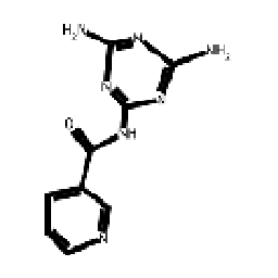 Nc1nc(N)nc(NC(=O)c2cccnc2)n1